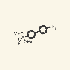 CCO[Si](OC)(OC)c1ccc(-c2ccc(C(F)(F)F)cc2)cc1